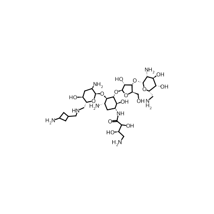 NC[C@@H](O)C(O)C(=O)N[C@@H]1C[C@H](N)[C@@H](O[C@H]2O[C@H](CNCC3CC(N)C3)[C@@H](O)C[C@H]2N)[C@H](O[C@@H]2O[C@H](CO)[C@@H](O[C@H]3O[C@@H](CN)[C@@H](O)[C@H](O)[C@H]3N)[C@H]2O)[C@H]1O